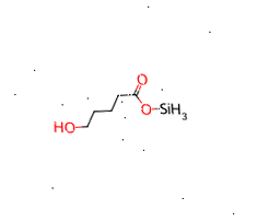 O=C(CCCCO)O[SiH3]